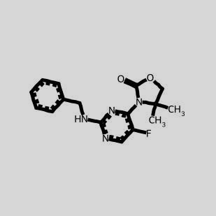 CC1(C)COC(=O)N1c1nc(NCc2ccccc2)ncc1F